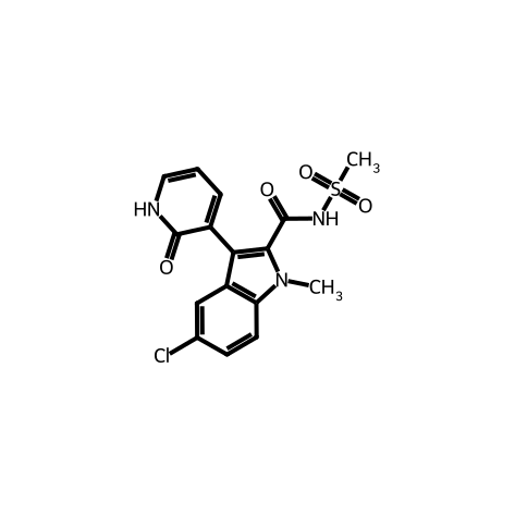 Cn1c(C(=O)NS(C)(=O)=O)c(-c2ccc[nH]c2=O)c2cc(Cl)ccc21